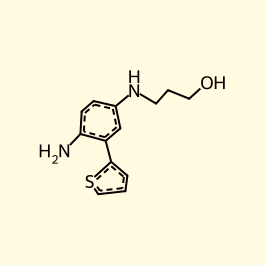 Nc1ccc(NCCCO)cc1-c1cccs1